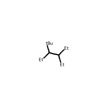 [CH2]C(C)(C)C(CC)C(CC)CC